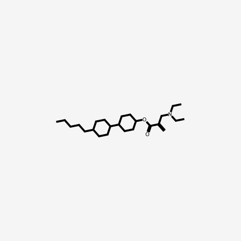 C=C(CN(CC)CC)C(=O)OC1CCC(C2CCC(CCCCC)CC2)CC1